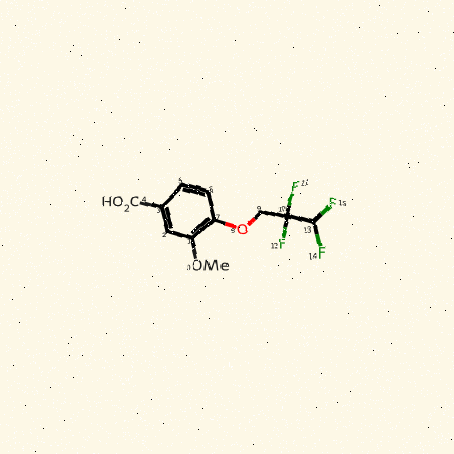 COc1cc(C(=O)O)ccc1OCC(F)(F)C(F)F